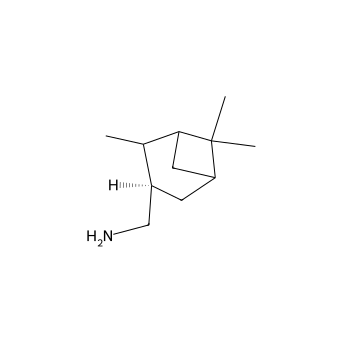 CC1C2CC(C[C@H]1CN)C2(C)C